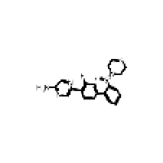 Nc1cnc(-c2ccc(-c3ccccc3[S+]([O-])N3CCSCC3)cc2F)cn1